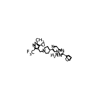 Cn1nc(C(F)(F)F)c(CN2CCC(C3=C[N+]4(N)N=C(c5ccco5)N=C4C=N3)CC2)c1Cl